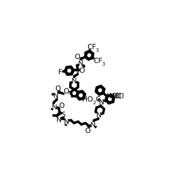 Cc1nc(N(C)CCCCCC(=O)N(C)CCN2CCC(N(C(=O)O)c3ccccc3-c3ccccc3)CC2)sc1C(=O)N(C)CCN(C)C(=O)CO[C@H]1Cc2ccccc2C12CCN(CC[C@@]1(c3ccc(F)cc3)CN(C(=O)c3cc(C(F)(F)F)cc(C(F)(F)F)c3)CO1)CC2.Cl.Cl.Cl